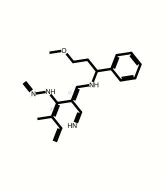 C=C/C(C)=C(NN=C)\C(C=N)=C\NC(CCOC)c1ccccc1